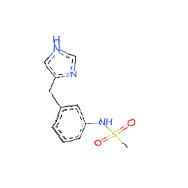 CS(=O)(=O)Nc1cccc(Cc2c[nH]cn2)c1